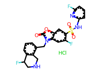 Cl.O=c1oc2cc(S(=O)(=O)Nc3cccc(F)n3)c(F)cc2n1Cc1cccc2c1CNCC2F